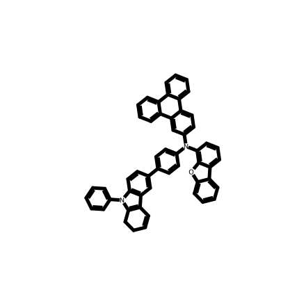 C1=Cc2c(n(-c3ccccc3)c3ccc(-c4ccc(N(c5ccc6c7ccccc7c7ccccc7c6c5)c5cccc6c5oc5ccccc56)cc4)cc23)CC1